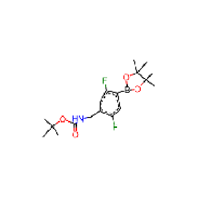 CC(C)(C)OC(=O)NCc1cc(F)c(B2OC(C)(C)C(C)(C)O2)cc1F